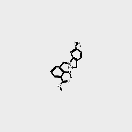 COC(=O)c1cccc(CN2NCc3ccc(N)cc32)c1OC